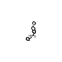 O=C(NCc1ccccc1)c1ccc2c(c1)CCC(N1CCCC1)C2